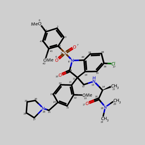 COc1ccc(S(=O)(=O)N2C(=O)C(CN[C@@H](C)C(=O)N(C)C)(c3ccc(CN4CCCC4)cc3OC)c3cc(Cl)ccc32)c(OC)c1